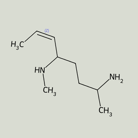 C/C=C\C(CCC(C)N)NC